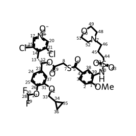 COc1ccc(C(=O)SCC(=O)O[C@@H](Cc2c(Cl)c[n+]([O-])cc2Cl)c2ccc(OC(F)F)c(OCC3CC3)c2)cc1NS(=O)(=O)CCCN1CCOCC1